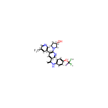 C=C(Nc1ccc(OC(F)(F)I)cc1)c1cnc(N2CC[C@@H](O)C2)c(-c2cncc(C(F)(F)F)c2)c1